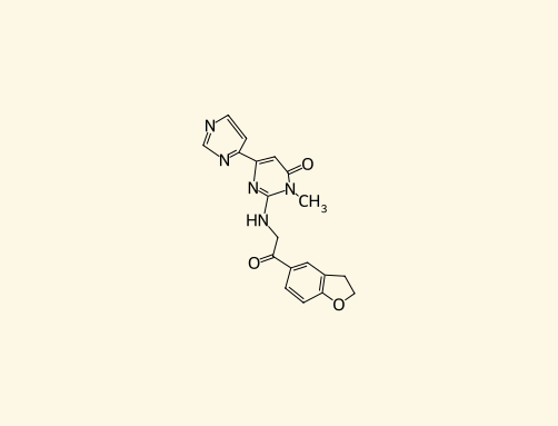 Cn1c(NCC(=O)c2ccc3c(c2)CCO3)nc(-c2ccncn2)cc1=O